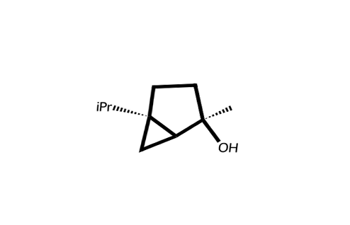 CC(C)[C@]12CC[C@@](C)(O)C1C2